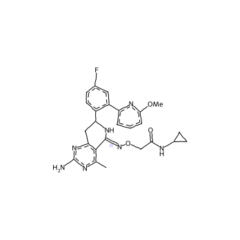 COc1cccc(-c2cc(F)ccc2C2Cc3nc(N)nc(C)c3/C(=N/OCC(=O)NC3CC3)N2)n1